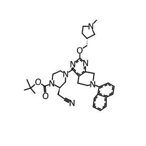 CN1CC[C@@H](COc2nc3c(c(N4CCN(C(=O)OC(C)(C)C)[C@H](CC#N)C4)n2)CCN(c2cccc4ccccc24)C3)C1